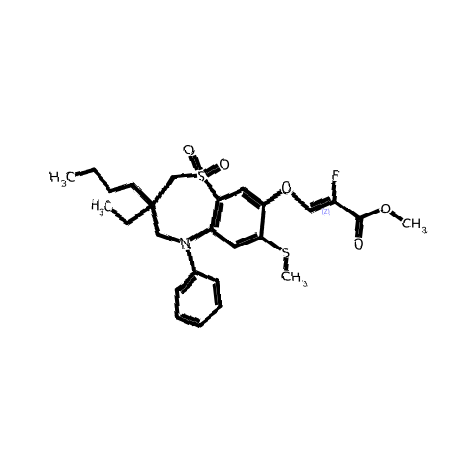 CCCCC1(CC)CN(c2ccccc2)c2cc(SC)c(O/C=C(\F)C(=O)OC)cc2S(=O)(=O)C1